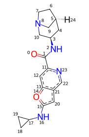 O=C(N[C@@H]1C[C@@H]2CCN(C2)C1)c1cc2oc(NC3CC3)cc2cn1